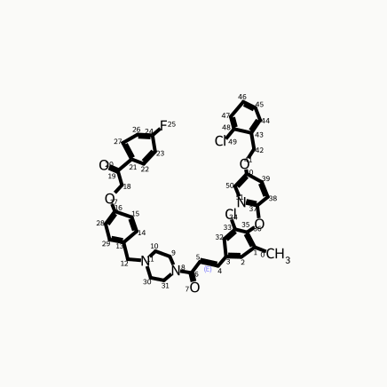 Cc1cc(/C=C/C(=O)N2CCN(Cc3ccc(OCC(=O)c4ccc(F)cc4)cc3)CC2)cc(Cl)c1Oc1ccc(OCc2ccccc2Cl)cn1